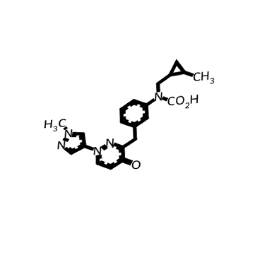 CC1CC1CN(C(=O)O)c1cccc(Cc2nn(-c3cnn(C)c3)ccc2=O)c1